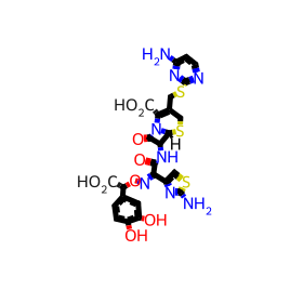 Nc1ccnc(SCC2=C(C(=O)O)N3C(=O)C(NC(=O)/C(=N\OC(C(=O)O)c4ccc(O)c(O)c4)c4csc(N)n4)[C@H]3SC2)n1